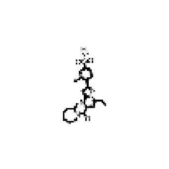 CCc1cc(C(=O)N2CCCCCC2C)nc2cc(-c3ccc(S(N)(=O)=O)cc3F)nn12